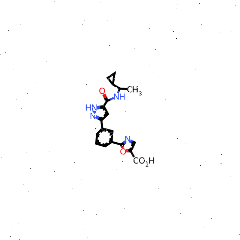 CC(NC(=O)c1cc(-c2cccc(-c3ncc(C(=O)O)o3)c2)n[nH]1)C1CC1